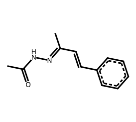 CC(=O)NN=C(C)C=Cc1ccccc1